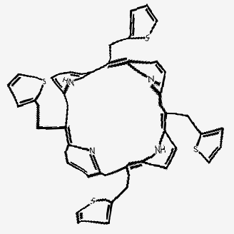 C1=Cc2nc1c(Cc1cccs1)c1ccc([nH]1)c(Cc1cccs1)c1nc(c(Cc3cccs3)c3ccc([nH]3)c2Cc2cccs2)C=C1